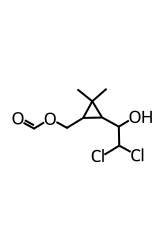 CC1(C)C(COC=O)C1C(O)C(Cl)Cl